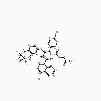 O=C(O)CCC(=O)OC(c1ccc(F)cc1)C(Cc1ccc2c(c1)OC(F)(F)C(F)(F)O2)NC(=O)c1ccc(F)c2ccccc12